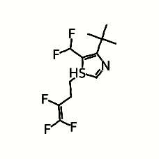 CC(C)(C)C1=C(C(F)F)[SH](CCC(F)=C(F)F)C=N1